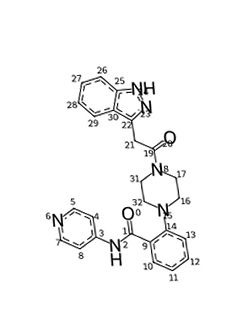 O=C(Nc1ccncc1)c1ccccc1N1CCN(C(=O)Cc2n[nH]c3ccccc23)CC1